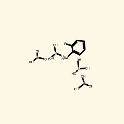 Fc1cccc[c]1[Na].OB(O)O.OB(O)O.OB(O)O.OB(O)O